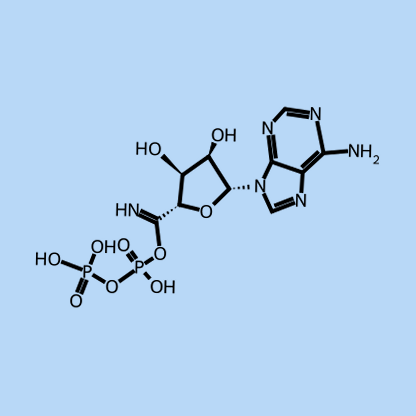 N=C(OP(=O)(O)OP(=O)(O)O)[C@H]1O[C@@H](n2cnc3c(N)ncnc32)[C@H](O)[C@@H]1O